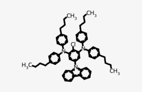 CCCCc1ccc(N(c2ccc(CCCC)cc2)c2cc(-n3c4ccccc4c4ccccc43)cc(N(c3ccc(CCCC)cc3)c3ccc(CCCC)cc3)c2Cl)cc1